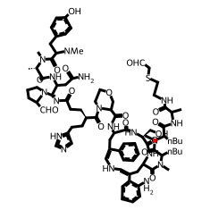 CCCCC(C(=O)N(C)C(CCCC)C(=O)NC(C)C(=O)NCCSCC=O)N(C)C(=O)C1C/C(c2ccccc2N)=C/N/C=C(\c2ccccc2)CC(NC(=O)C2COCCN2C(=O)[C@H](CCC(=O)/N=C(\C(CC(N)=O)NC(=O)[C@H](C)N(C)C(=O)C(Cc2ccc(O)cc2)NC)N2CCCC2C=O)CCc2cnc[nH]2)C(=O)N[C@@H](CO)C(=O)N1